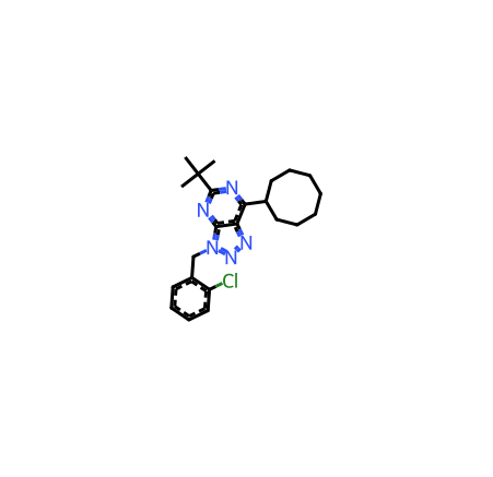 CC(C)(C)c1nc(C2CCCCCCC2)c2nnn(Cc3ccccc3Cl)c2n1